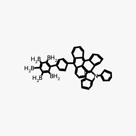 Bc1c(B)c(B)c(-c2ccc(-c3c4ccccc4c(-c4ccccc4-c4nc5ccccc5n4-c4ccccc4)c4ccccc34)cc2)c(B)c1B